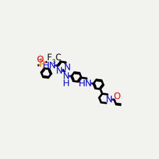 C=CC(=O)N1CCCC(c2cccc(NCc3ccc(Nc4ncc(C(F)(F)F)c(Nc5ccccc5P(C)(C)=O)n4)cc3)c2)C1